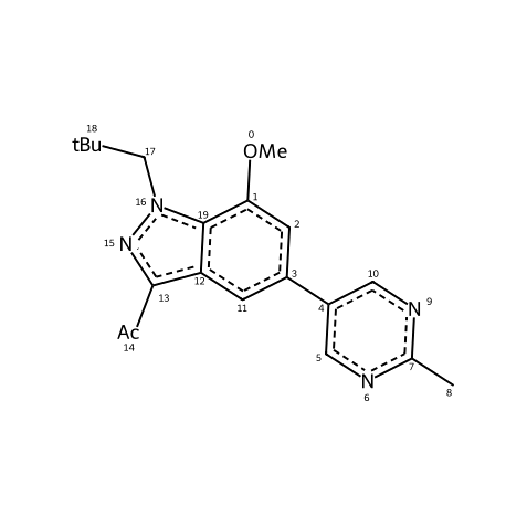 COc1cc(-c2cnc(C)nc2)cc2c(C(C)=O)nn(CC(C)(C)C)c12